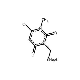 CCCCCCCCn1c(=O)cc(Cl)n(C)c1=O